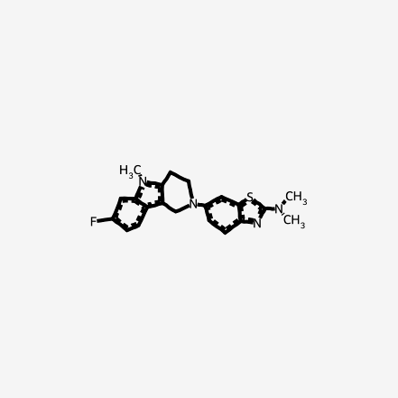 CN(C)c1nc2ccc(N3CCc4c(c5ccc(F)cc5n4C)C3)cc2s1